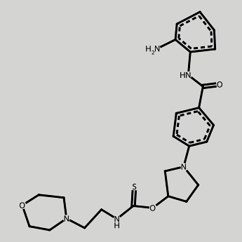 Nc1ccccc1NC(=O)c1ccc(N2CCC(OC(=S)NCCN3CCOCC3)C2)cc1